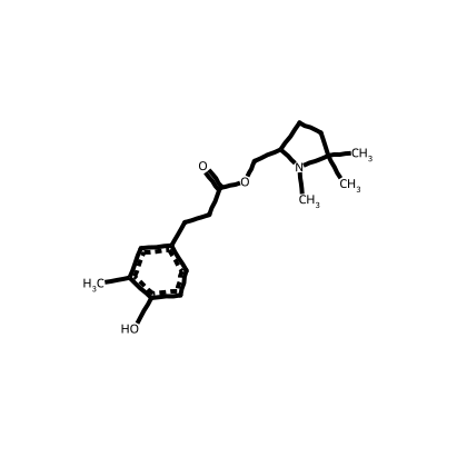 Cc1cc(CCC(=O)OCC2CCC(C)(C)N2C)ccc1O